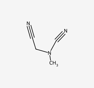 CN(C#N)CC#N